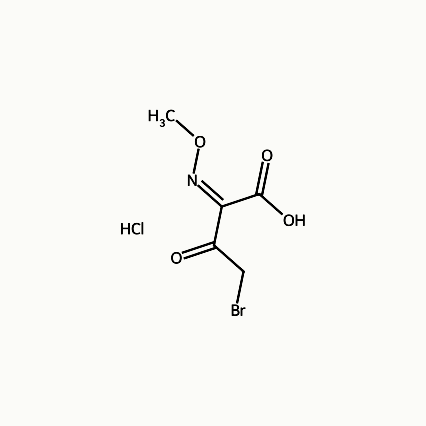 CON=C(C(=O)O)C(=O)CBr.Cl